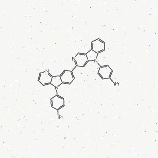 CC(C)c1ccc(-n2c3ccccc3c3cnc(-c4ccc5c(c4)c4ncccc4n5-c4ccc(C(C)C)cc4)cc32)cc1